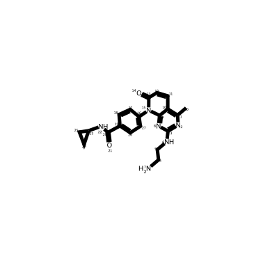 Cc1nc(NCCN)nc2c1ccc(=O)n2-c1ccc(C(=O)NC2CC2)cc1